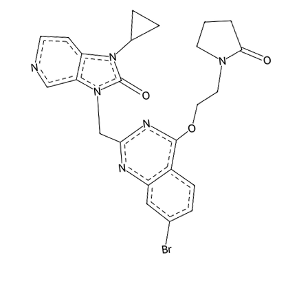 O=C1CCCN1CCOc1nc(Cn2c(=O)n(C3CC3)c3ccncc32)nc2cc(Br)ccc12